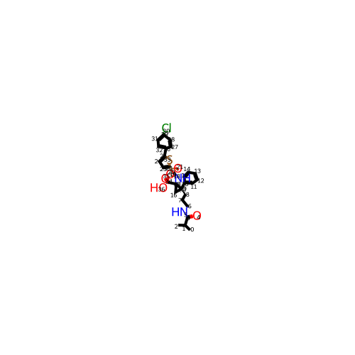 CC(C)C(=O)NCCC[C@@]1(c2ccccc2)C[C@]1(NS(=O)(=O)c1ccc(-c2ccc(Cl)cc2)s1)C(=O)O